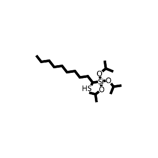 CCCCCCCCCC(S)[Si](OC(C)C)(OC(C)C)OC(C)C